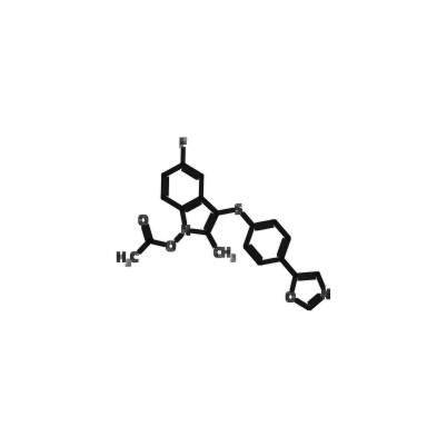 CC(=O)On1c(C)c(Sc2ccc(-c3cnco3)cc2)c2cc(F)ccc21